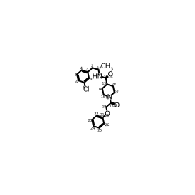 C[C@@H](Cc1cccc(Cl)c1)NC(=O)C1CCN(C(=O)COc2ccccc2)CC1